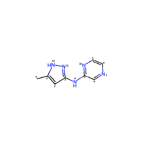 Cc1cc(Nc2cnccn2)n[nH]1